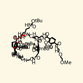 CCCCOc1c(C(=O)NCCC[C@H]2CN3CCNC(=O)c4ccc(c(OCCCC)c4OCCCC)C(=O)NCCN(CCNC(=O)c4ccc(c(OCCCC)c4OCCCC)C(=O)N[C@@H](CCCCNC(=O)OC(C)(C)C)C3)CCNC(=O)c3ccc(c(OCCCC)c3OCCCC)C(=O)N2)ccc(C(=O)NCCOCCOC)c1OCCCC